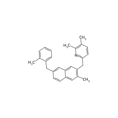 Cc1ccccc1Cc1ccc2cc(C)c(Cc3ccc(C)c(C)n3)cc2c1